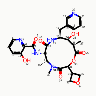 C[C@@H]1[C@H](NC(=O)c2ncccc2O)C(=O)N[C@@H](Cc2cccnc2)[C@@H](O)[C@@H](C)C(=O)OC(C2COC2)C(=O)N1C